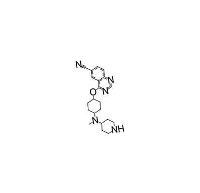 CN(C1CCNCC1)C1CCC(Oc2ncnc3ccc(C#N)cc23)CC1